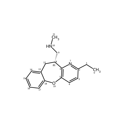 CCc1ccc2c(n1)[C@@H](CNC)Cc1ccccc1O2